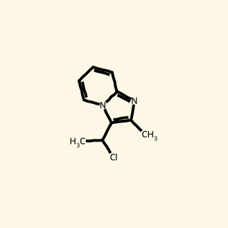 Cc1nc2ccccn2c1C(C)Cl